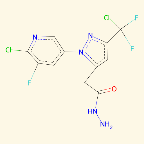 NNC(=O)Cc1cc(C(F)(F)Cl)nn1-c1cnc(Cl)c(F)c1